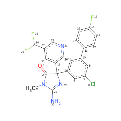 CN1C(=O)C(c2cc(Cl)cc(-c3ccc(F)cc3)c2)(c2cncc(C(F)F)c2)N=C1N